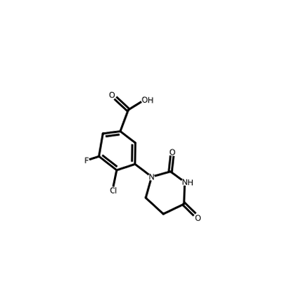 O=C1CCN(c2cc(C(=O)O)cc(F)c2Cl)C(=O)N1